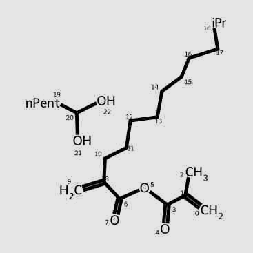 C=C(C)C(=O)OC(=O)C(=C)CCCCCCCCC(C)C.CCCCCC(O)O